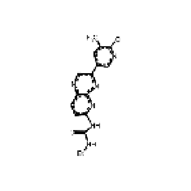 CCNC(=O)Nc1ccc2ncc(-c3cnc(Cl)c(C(F)(F)F)c3)nc2n1